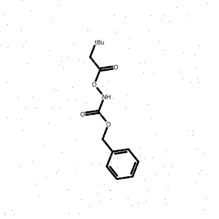 CC(C)(C)CC(=O)ONC(=O)OCc1ccccc1